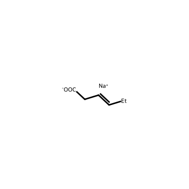 CCC=CCC(=O)[O-].[Na+]